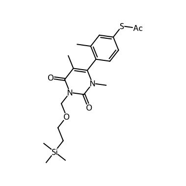 CC(=O)Sc1ccc(-c2c(C)c(=O)n(COCC[Si](C)(C)C)c(=O)n2C)c(C)c1